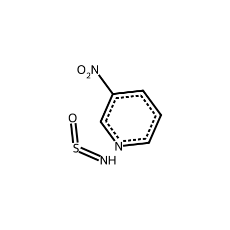 N=S=O.O=[N+]([O-])c1cccnc1